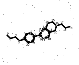 CCCCc1ccc(-c2ncc3c(n2)CCC(CCC)C3)cc1